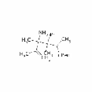 C=C(C)C(C)(N)[C@@](C)(C(C)C)C(C)CCCCC